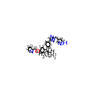 CC(C)(C)C(c1ccc(OCc2ccccn2)cc1)c1ccc(-c2cnn(CC3CCNC3)n2)cc1